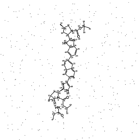 COC(=O)N[C@H](C(=O)N1[C@@H]2CC2C[C@H]1c1nc(-c2ccc3cc(-c4ccc5nc(C6C[C@@H](C)CN6C(=O)OC(C)(C)C)[nH]c5c4)ccc3c2)c[nH]1)C(C)C